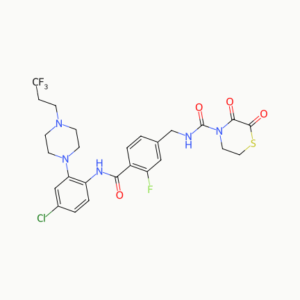 O=C1SCCN(C(=O)NCc2ccc(C(=O)Nc3ccc(Cl)cc3N3CCN(CCC(F)(F)F)CC3)c(F)c2)C1=O